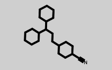 N#CC1CCC(CCC(C2CCCCC2)C2CCCCC2)CC1